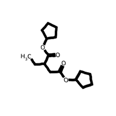 CCC(CC(=O)OC1CCCC1)C(=O)OC1CCCC1